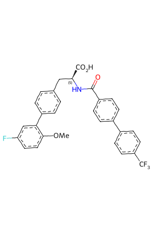 COc1ccc(F)cc1-c1ccc(C[C@H](NC(=O)c2ccc(-c3ccc(C(F)(F)F)cc3)cc2)C(=O)O)cc1